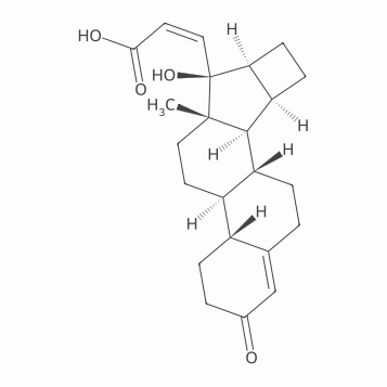 C[C@]12CC[C@H]3[C@@H](CCC4=CC(=O)CC[C@@H]43)[C@@H]1[C@@H]1CC[C@@H]1[C@@]2(O)/C=C\C(=O)O